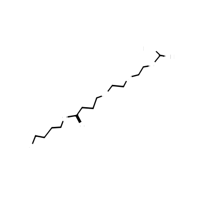 CCCCCOC(=O)CCCOCCOCCOC(C)C